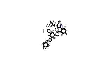 CO/C=C(\C(=O)OC)c1ccccc1COc1cc(O)cc(OCc2ccncc2)c1